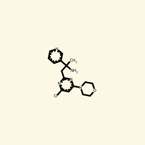 CC(N)(Cc1nc(Cl)cc(N2CCOCC2)n1)c1cccnc1